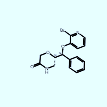 O=C1CO[C@H]([C@@H](Oc2cccnc2Br)c2ccccc2)CN1